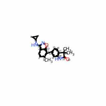 Cc1ccc2c(NC3CC3)noc2c1-c1ccc2c(c1)NC(=O)C2(C)C